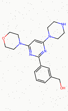 OCc1cccc(-c2nc(N3CCNCC3)cc(N3CCOCC3)n2)c1